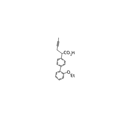 CC#CCC(C(=O)O)c1ccc(-c2ccccc2OCC)cc1